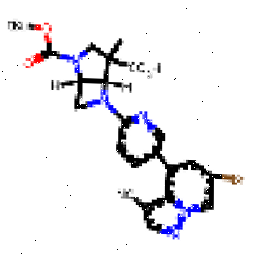 CC(C)(C)OC(=O)N1CC(C)(C(=O)O)[C@H]2[C@@H]1CN2c1ccc(-c2cc(Br)cn3ncc(C#N)c23)cn1